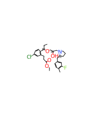 CCOC(=O)CCc1cc(Cl)ccc1[C@@H](CC)OC[C@H](O)CN1CCC[C@H]1Cc1ccc(C)c(F)c1